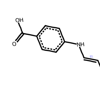 C/C=C/Nc1ccc(C(=O)O)cc1